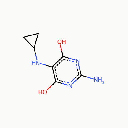 Nc1nc(O)c(NC2CC2)c(O)n1